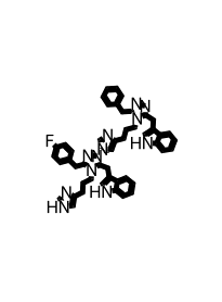 Fc1ccc(Cc2n[n+](-n3cnc(CCCn4c(Cc5ccccc5)nnc4Cc4c[nH]c5ccccc45)c3)c(Cc3c[nH]c4ccccc34)n2CCCc2c[nH]cn2)cc1